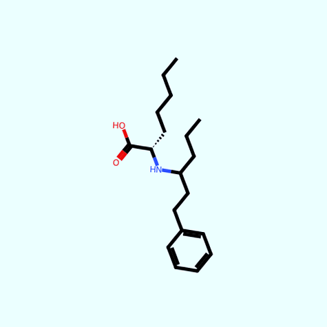 CCCCC[C@H](NC(CCC)CCc1ccccc1)C(=O)O